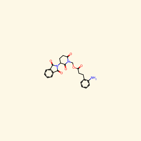 Nc1ccccc1CCC(=O)OCN1C(=O)CCC(N2C(=O)c3ccccc3C2=O)C1=O